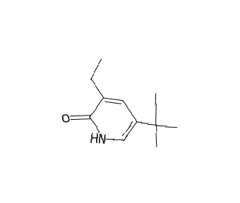 CCc1cc(C(C)(C)C)c[nH]c1=O